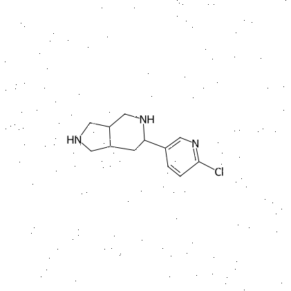 Clc1ccc(C2CC3CNCC3CN2)cn1